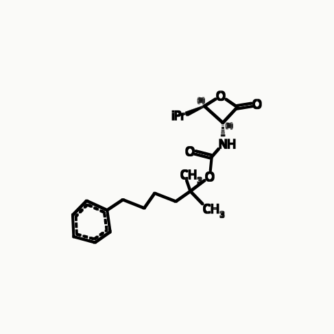 CC(C)[C@H]1OC(=O)[C@@H]1NC(=O)OC(C)(C)CCCCc1ccccc1